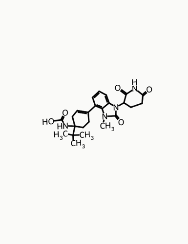 Cn1c(=O)n(C2CCC(=O)NC2=O)c2cccc(C3=CCC(NC(=O)O)(C(C)(C)C)CC3)c21